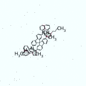 CCCCCCC(C)(CC)c1ccc2c(c1)C1(c3cc(N(c4ccccc4)c4ccccc4-c4ccccc4)ccc3-c3ccc(N(c4ccccc4)c4ccccc4-c4ccccc4)cc31)c1cc(C(C)(CC)CCCCCC)ccc1-2